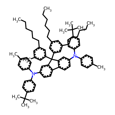 CCCCCCc1cc(C)cc(C2(c3cc(CCCCCC)cc(CCCCCC)c3)c3cc(N(c4ccc(C)cc4)c4ccc(C(C)(C)C)cc4)ccc3-c3ccc(N(c4ccc(C)cc4)c4ccc(C(C)(C)C)cc4)cc32)c1